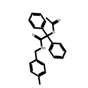 CC(=O)OC(C(=O)NCc1ccc(C)cc1)(c1ccccc1)c1ccccc1